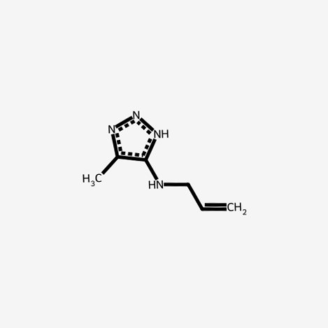 C=CCNc1[nH]nnc1C